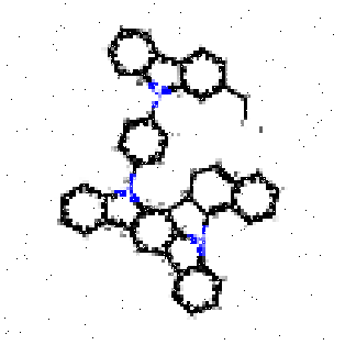 CCc1ccc2c3ccccc3n(-c3ccc(-n4c5ccccc5c5cc6c7ccccc7n7c6c(c54)C4CC=c5ccccc5=C47)cc3)c2c1